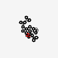 O=C1c2ccccc2S(=O)(=O)c2ccc(-c3cccc(-c4cc(-c5cccc(-n6c7ccccc7c7cc(-n8c9ccccc9c9ccccc98)ccc76)c5)c(-c5ccccc5-c5ccc6c(c5)Oc5ccccc5S6(=O)=O)cc4-c4cccc(-n5c6ccccc6c6cc(-n7c8ccccc8c8ccccc87)ccc65)c4)c3)cc21